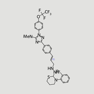 CNc1nc(-c2ccc(/C=C/CNNC3SCCCN3c3ccccc3C(C)C)cc2)nn1-c1ccc(OC(F)(F)C(F)(F)F)cc1